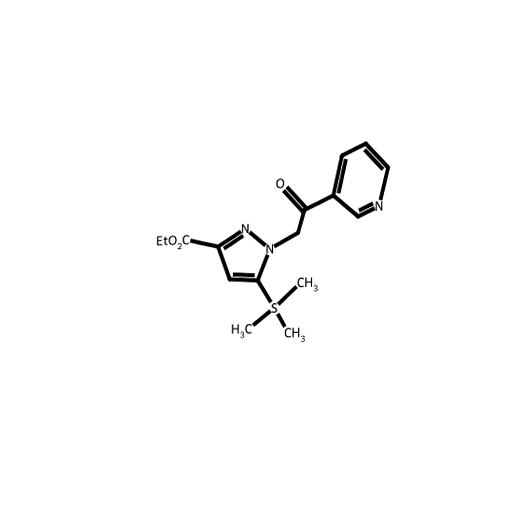 CCOC(=O)c1cc(S(C)(C)C)n(CC(=O)c2cccnc2)n1